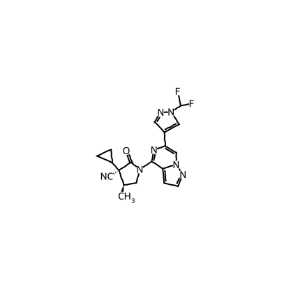 C[C@@H]1CN(c2nc(-c3cnn(C(F)F)c3)cn3nccc23)C(=O)[C@]1(C#N)C1CC1